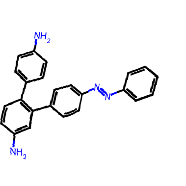 Nc1ccc(-c2ccc(N)cc2-c2ccc(N=Nc3ccccc3)cc2)cc1